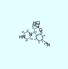 Cl.Cl.N#Cc1ccc2c(c1)OCCC2N1CCNCC1